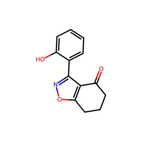 O=C1CCCc2onc(-c3ccccc3O)c21